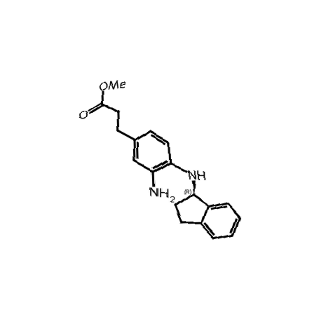 COC(=O)CCc1ccc(N[C@@H]2CCc3ccccc32)c(N)c1